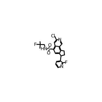 CC(C)(F)CNS(=O)(=O)c1cc2c(c3cnc(Cl)cc13)CCC2c1cccnc1F